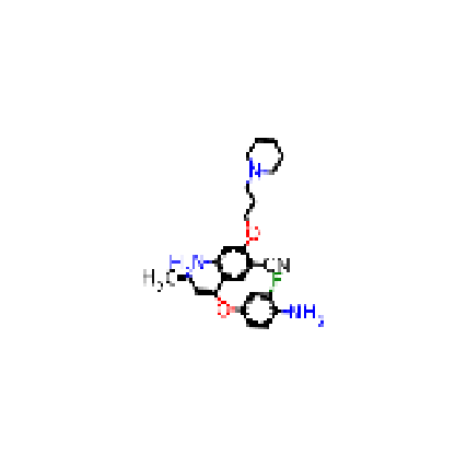 C=C/C=C(/Oc1ccc(N)c(F)c1)c1cc(C#N)c(OCCCN2CCCCC2)cc1N